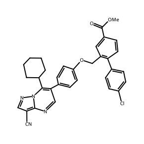 COC(=O)c1ccc(-c2ccc(Cl)cc2)c(COc2ccc(-c3cnc4c(C#N)cnn4c3C3CCCCC3)cc2)c1